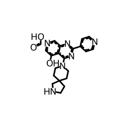 O=CO.Oc1cncc2nc(-c3ccncc3)nc(N3CCC4(CCNC4)CC3)c12